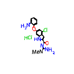 CNC(N)=NC(=O)c1cc2c(Cl)cc(Oc3ccccc3N)cc2[nH]1.Cl